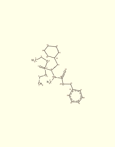 CCOP(=O)(OCC)C(CC1CCCCC1)N(C)C(=O)OCc1ccccc1